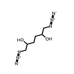 [N-]=[N+]=NCC(O)CCC(O)CN=[N+]=[N-]